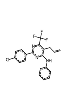 C=CCc1c(Nc2ccccc2)nc(-c2ccc(Cl)cc2)nc1C(F)(F)F